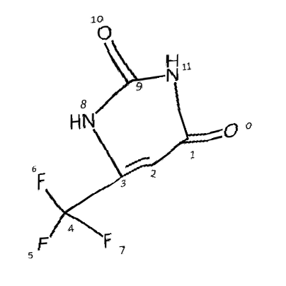 O=c1cc(C(F)(F)F)[nH]c(=O)[nH]1